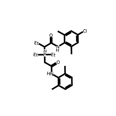 CCC(C(=O)Nc1c(C)cc(Cl)cc1C)[PH](CC)(CC)CC(=O)Nc1c(C)cccc1C